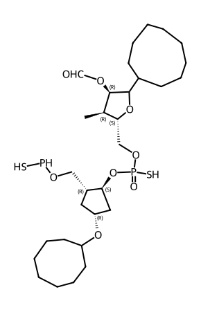 C[C@@H]1[C@@H](COP(=O)(S)O[C@H]2C[C@H](OC3CCCCCCC3)C[C@@H]2COPS)OC(C2CCCCCCCC2)[C@@H]1OC=O